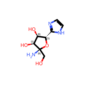 N[C@]1(CO)O[C@@H](c2ncc[nH]2)[C@H](O)[C@@H]1O